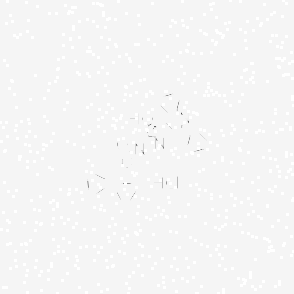 Cl.O=C(O)c1c(CN2CCN(C(=O)OCC3c4ccccc4-c4ccccc43)CC2)c(-c2ccccc2)nc2ccccc12